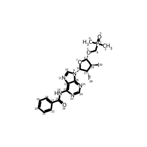 CP(C)(=O)CO[C@H]1O[C@@H](n2cnc3c(NC(=O)c4ccccc4)ncnc32)[C@@H](F)[C@@H]1I